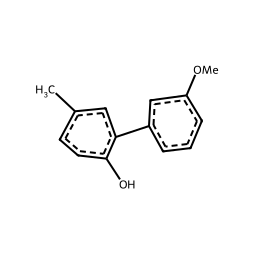 COc1cccc(-c2cc(C)ccc2O)c1